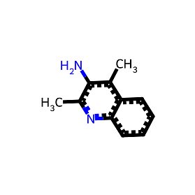 Cc1nc2ccccc2c(C)c1N